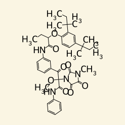 CCC(Oc1ccc(C(C)(C)CC)cc1C(C)(C)CC)C(=O)Nc1cccc(C(=O)C(OC)(C(=O)Nc2ccccc2)N2C(=O)C(=O)N(C)C2=O)c1